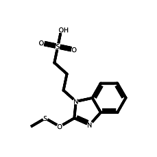 CSOc1nc2ccccc2n1CCCS(=O)(=O)O